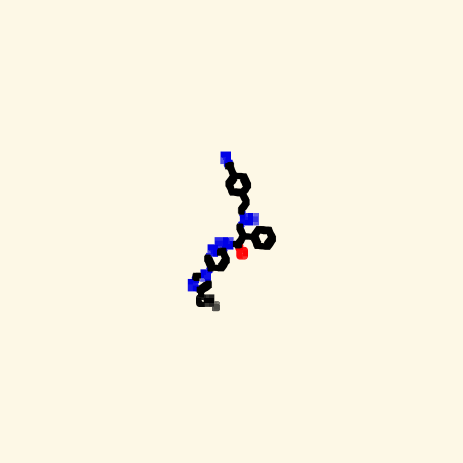 Cc1cn(-c2ccc(NC(=O)C(CNCCc3ccc(C#N)cc3)c3ccccc3)nc2)cn1